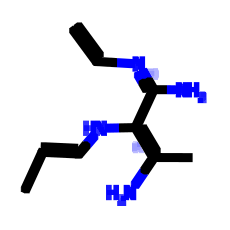 C=C/N=C(N)\C(NC=CC)=C(/C)N